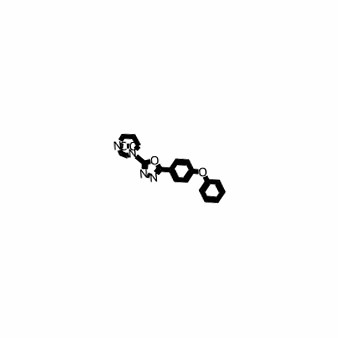 c1ccc(Oc2ccc(-c3nnc(N4CCN5CCC4CC5)o3)cc2)cc1